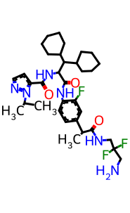 CC(C(=O)NCC(F)(F)CN)c1ccc(NC(=O)C(NC(=O)c2ccnn2C(C)C)C(C2CCCCC2)C2CCCCC2)c(F)c1